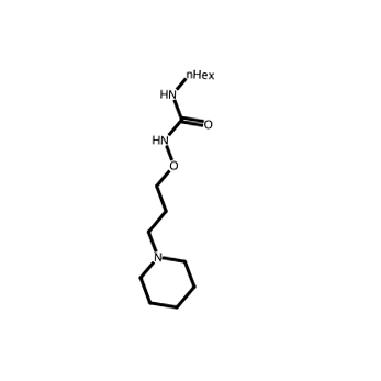 CCCCCCNC(=O)NOCCCN1CCCCC1